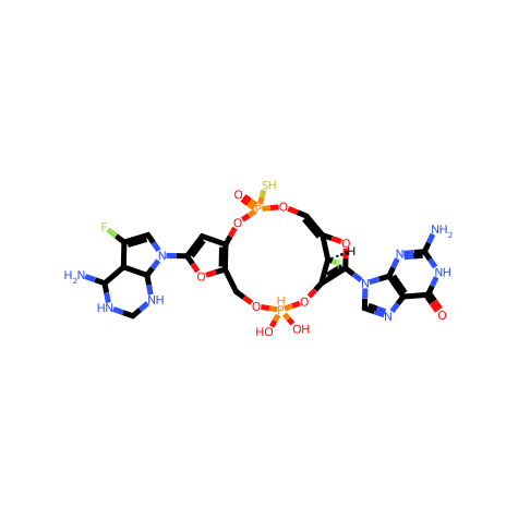 Nc1nc2c(ncn2C2=C3O[PH](O)(O)OCc4oc(N5C=C(F)C6C(N)NCNC65)cc4OP(=O)(S)O/C=C(/O2)[C@H]3F)c(=O)[nH]1